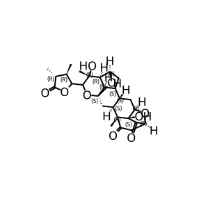 C[C@H]1C(=O)OC(C2O[C@]34C[C@H]5[C@@H](C[C@H]6O[C@H]7CC(=O)[C@@]5(C)[C@@]6(O)C7=O)[C@@H]5C[C@@H](O3)[C@@H]([C@@H]54)[C@@]2(C)O)[C@@H]1C